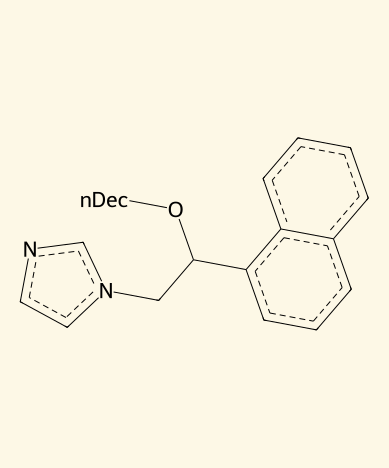 CCCCCCCCCCOC(Cn1ccnc1)c1cccc2ccccc12